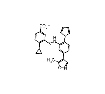 Cc1oncc1-c1ccc(-n2cccc2)c(NSc2cc(C(=O)O)ccc2C2CC2)c1